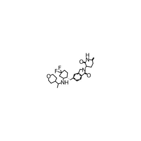 C=C1CCC(N2Cc3cc(C[C@H]4CCC(F)(F)C[C@@H]4NC(C)C4CCOCC4)ccc3C2=O)C(=O)N1